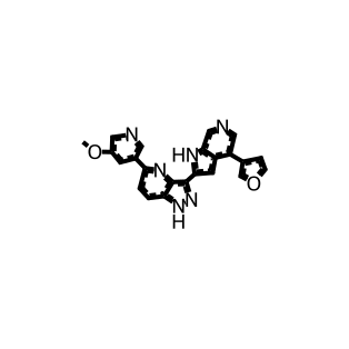 COc1cncc(-c2ccc3[nH]nc(-c4cc5c(-c6ccoc6)cncc5[nH]4)c3n2)c1